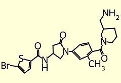 Cc1cc(N2CC(NC(=O)c3ccc(Br)s3)CC2=O)ccc1C(=O)N1CCCC(CN)C1